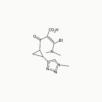 CCC(=C(C(=O)O)C(=O)C1CC1c1cn(C)nn1)N(C)C